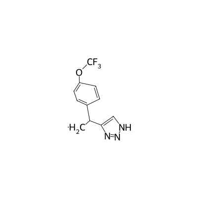 [CH2]C(c1ccc(OC(F)(F)F)cc1)c1c[nH]nn1